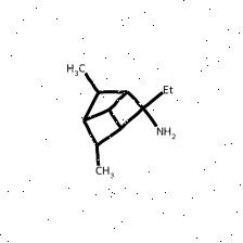 CCC1(N)C2C(C)C3C(C)C1C32